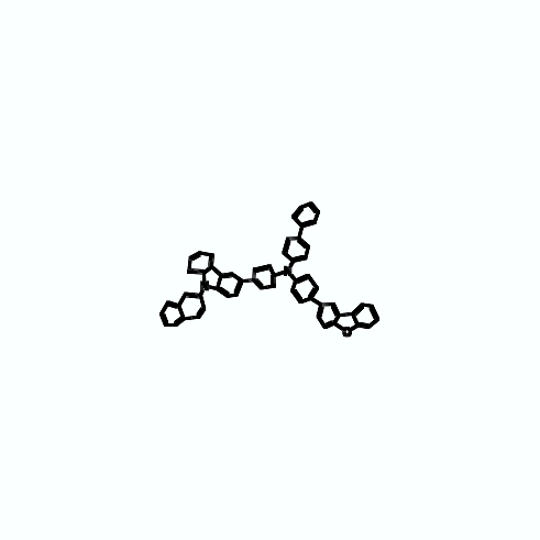 c1ccc(-c2ccc(N(c3ccc(-c4ccc5oc6ccccc6c5c4)cc3)c3ccc(-c4ccc5c(c4)c4ccccc4n5-c4ccc5ccccc5c4)cc3)cc2)cc1